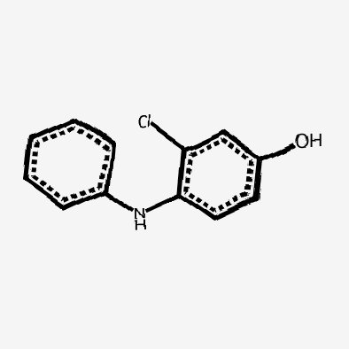 Oc1ccc(Nc2ccccc2)c(Cl)c1